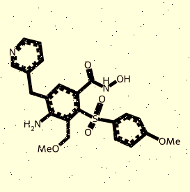 COCc1c(N)c(Cc2cccnc2)cc(C(=O)NO)c1S(=O)(=O)c1ccc(OC)cc1